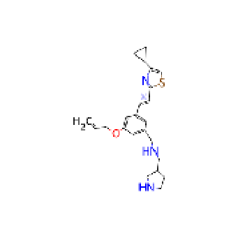 C=CCOc1cc(/C=C/c2nc(C3CC3)cs2)cc(CNCC2CCNC2)c1